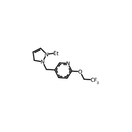 CCN1C=CCN1Cc1ccc(OCC(F)(F)F)nc1